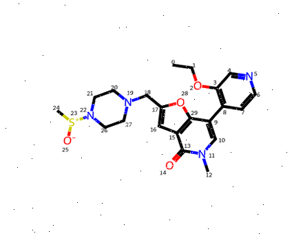 CCOc1cnccc1-c1cn(C)c(=O)c2cc(CN3CCN([S+](C)[O-])CC3)oc12